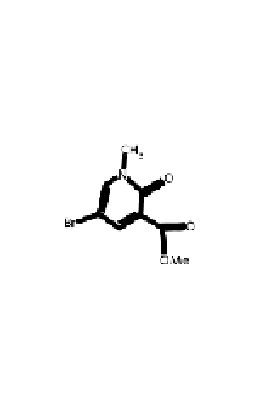 COC(=O)c1cc(Br)cn(C)c1=O